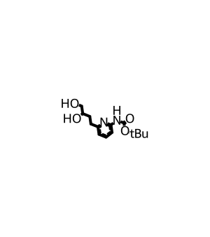 CC(C)(C)OC(=O)Nc1cccc(CCC(O)CO)n1